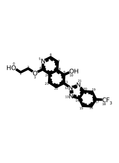 OCCOc1nccc2c(O)c(-n3nc4ccc(C(F)(F)F)cc4n3)ccc12